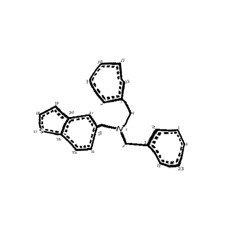 c1ccc(CN(Cc2ccccc2)c2ccc3sccc3c2)cc1